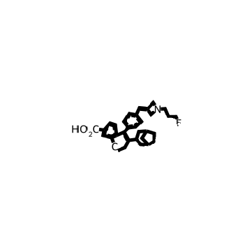 O=C(O)c1ccc2c(c1)CCCC(C1CC3CCC(C3)C1)=C2c1ccc(C=C2CN(CCCF)C2)cc1